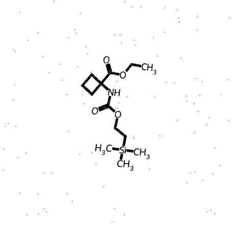 CCOC(=O)C1(NC(=O)OCC[Si](C)(C)C)CCC1